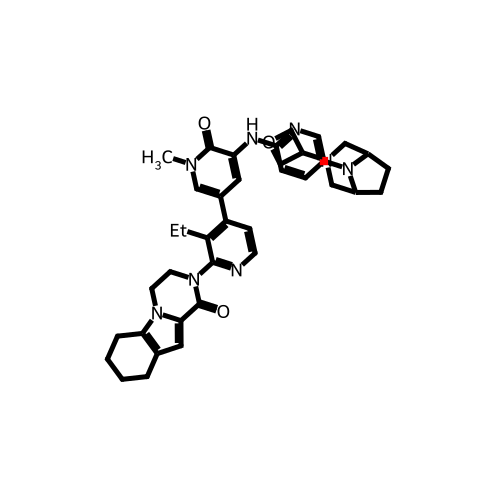 CCc1c(-c2cc(Nc3ccc(N4C5CCC4CN(C4COC4)C5)cn3)c(=O)n(C)c2)ccnc1N1CCn2c(cc3c2CCCC3)C1=O